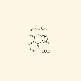 Cc1c(-c2cccc(C(=O)O)c2N)cccc1C(F)(F)F